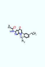 CCc1ccc(C)c(-c2cc(=O)c3cc(NC(=O)C4CC4)ncc3[nH]2)c1